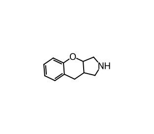 c1ccc2c(c1)CC1CNCC1O2